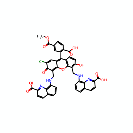 COC(=O)c1ccc(C(=O)O)c(-c2c3cc(Cl)c(=O)c(CNc4cccc5ccc(C(=O)O)nc45)c-3oc3c(CNc4cccc5ccc(C(=O)O)nc45)c(O)ccc23)c1